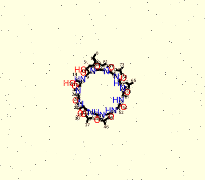 C/C=C/C[C@@H](C)[C@@H](O)[C@H]1C(=O)N[C@@H]([C@@H](C)O)C(=O)N(C)[C@H](C)C(=O)N(C)[C@@H]([C@@H](C)OC)C(=O)N[C@@H](CC(C)C)C(=O)N(C)[C@@H](CC(C)C)C(=O)N[C@@H](C)C(=O)N[C@H](C)C(=O)N(C)[C@@H](CC(C)C)C(=O)N[C@@H](CC(C)C)C(=O)N(C)[C@@H](C(C)C)C(=O)N1C